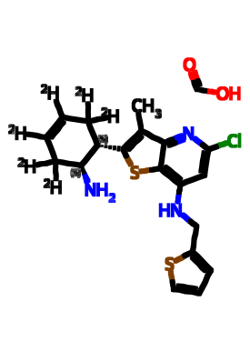 O=CO.[2H]C1=C([2H])C([2H])([2H])[C@H](c2sc3c(NCc4cccs4)cc(Cl)nc3c2C)[C@@H](N)C1([2H])[2H]